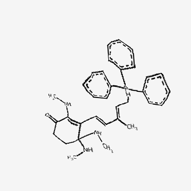 CNC1=C(C=CC(C)=CC[PH](c2ccccc2)(c2ccccc2)c2ccccc2)C(NC)(NC)CCC1=O